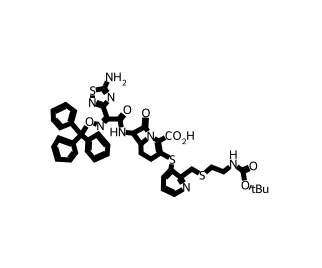 CC(C)(C)OC(=O)NCCSCc1ncccc1SC1=C(C(=O)O)N2C(=O)C(NC(=O)C(=NOC(c3ccccc3)(c3ccccc3)c3ccccc3)c3nsc(N)n3)C2CC1